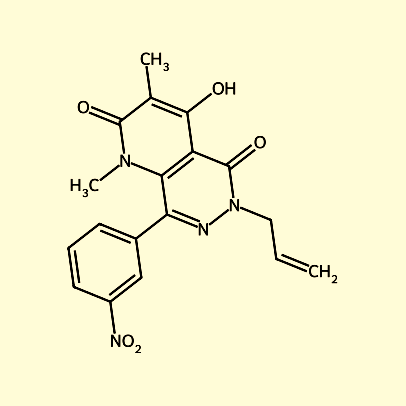 C=CCn1nc(-c2cccc([N+](=O)[O-])c2)c2c(c(O)c(C)c(=O)n2C)c1=O